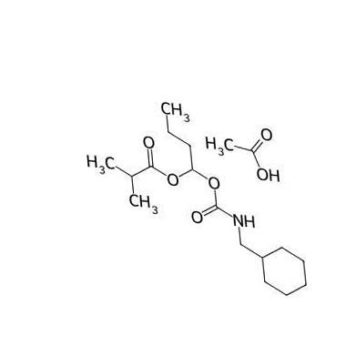 CC(=O)O.CCCC(OC(=O)NCC1CCCCC1)OC(=O)C(C)C